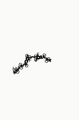 COc1cc2c(c(F)c1OCCCOc1c(OC)cc3c(c1F)CN(C(=O)CCC(=O)OC(C)(C)C)C3)CN(C(=O)CCC(=O)O/C(C)=C/NC(=O)OC(C)(C)C)C2